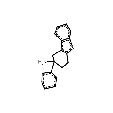 NC1(c2ccccc2)CCc2sc3ccccc3c2C1